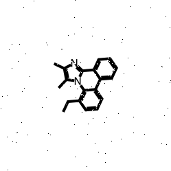 CCc1cccc2c3ccccc3c3nc(C)c(C)n3c12